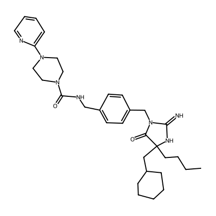 CCCCC1(CC2CCCCC2)NC(=N)N(Cc2ccc(CNC(=O)N3CCN(c4ccccn4)CC3)cc2)C1=O